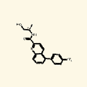 C[C@H](CO)NC(=O)c1ccc2c(-c3ccc(C(F)(F)F)cc3)cccc2n1